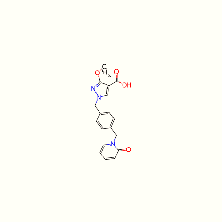 COc1nn(Cc2ccc(Cn3ccccc3=O)cc2)cc1C(=O)O